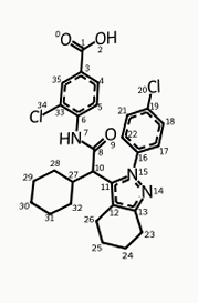 O=C(O)c1ccc(NC(=O)C(c2c3c(nn2-c2ccc(Cl)cc2)CCCC3)C2CCCCC2)c(Cl)c1